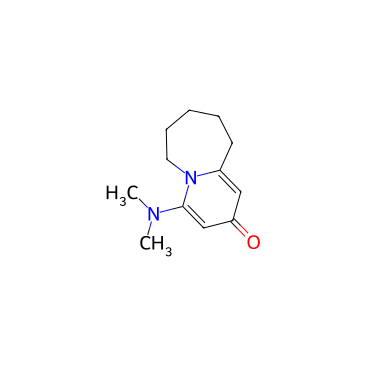 CN(C)c1cc(=O)cc2n1CCCCC2